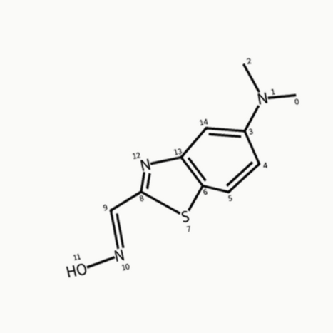 CN(C)c1ccc2sc(/C=N/O)nc2c1